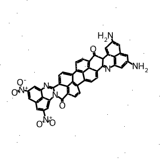 Nc1cc2c3c(cc(N)cc3c1)C1C(=O)c3ccc4c5ccc6c7c(ccc(c8ccc(c3c84)C1=N2)c57)c(=O)n1c2cc([N+](=O)[O-])cc3cc([N+](=O)[O-])cc(nc61)c32